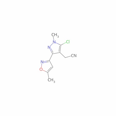 Cc1cc(-c2nn(C)c(Cl)c2CC#N)no1